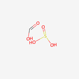 O=CO.O=S(O)O